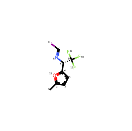 Cc1ccc([C@H](/N=C/I)C(F)(F)F)o1